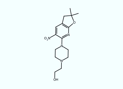 CC1(C)Cc2cc([N+](=O)[O-])c(N3CCN(CCO)CC3)nc2O1